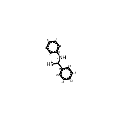 SC(Nc1ccccc1)c1ccccc1